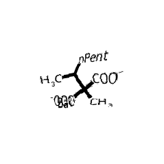 CCCCCC(C)C(C)(C(=O)[O-])C(=O)[O-].[Ba+2]